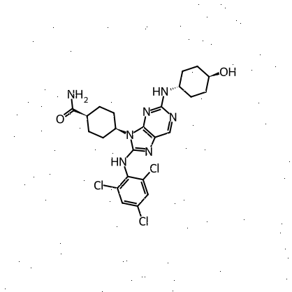 NC(=O)[C@H]1CC[C@@H](n2c(Nc3c(Cl)cc(Cl)cc3Cl)nc3cnc(N[C@H]4CC[C@H](O)CC4)nc32)CC1